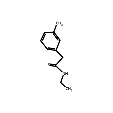 CCNC(=S)Cc1cccc(C)c1